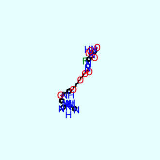 C[C@@H](NC(=O)c1cccc(NC2(c3nnc(-c4ccncc4)[nH]3)CCN(C)CC2)c1)c1ccc(OCCCCCOCCCOCC(=O)N2CCN(c3cc4c(cc3F)C(=O)N(C3CCC(=O)NC3=O)C4=O)CC2)cc1